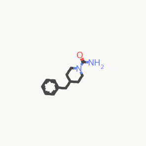 NC(=O)N1CCC(Cc2ccccc2)CC1